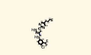 N=N/C(=C\Nc1ccc(Cl)c(C(F)F)c1)COc1ncc(CCCF)cn1